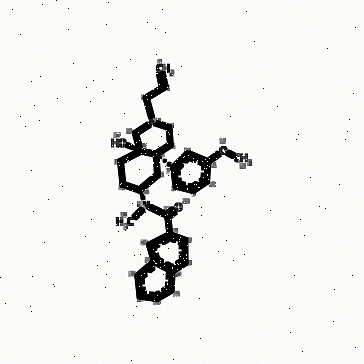 C=CCN1CC[C@@]2(c3cccc(OC)c3)C[C@H](N(C)C(=O)c3ccc4ccccc4c3)CC[C@]2(O)C1